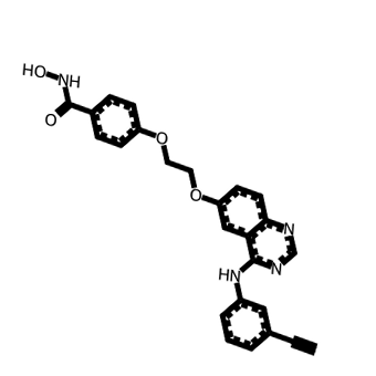 C#Cc1cccc(Nc2ncnc3ccc(OCCOc4ccc(C(=O)NO)cc4)cc23)c1